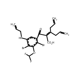 C=CCNc1cc(C(=O)C(C(=O)O)=C(CC=C)CC=C)c(Br)c(OC(F)F)c1Br